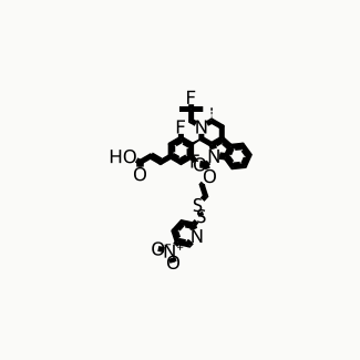 C[C@@H]1Cc2c(n(C(=O)OCCSSc3ccc([N+](=O)[O-])cn3)c3ccccc23)[C@@H](c2c(F)cc(/C=C/C(=O)O)cc2F)N1CC(C)(C)F